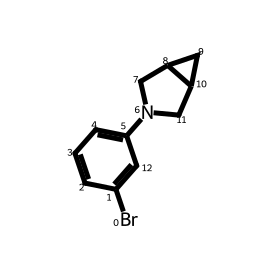 Brc1cccc(N2CC3CC3C2)c1